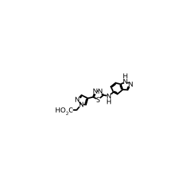 O=C(O)Cn1cc(-c2nnc(Nc3ccc4[nH]ncc4c3)s2)cn1